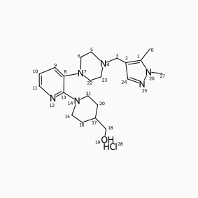 Cc1c(CN2CCN(c3cccnc3N3CCC(CO)CC3)CC2)cnn1C.Cl